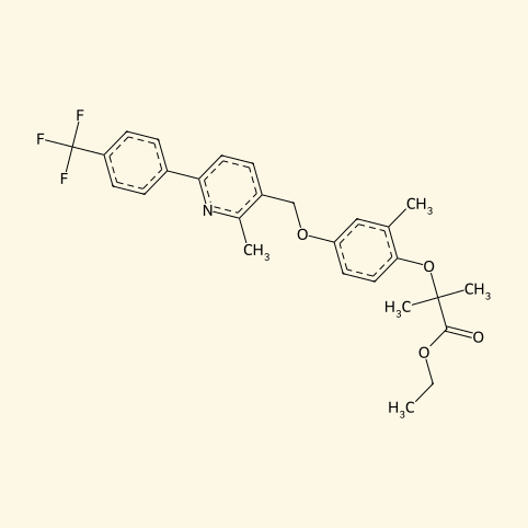 CCOC(=O)C(C)(C)Oc1ccc(OCc2ccc(-c3ccc(C(F)(F)F)cc3)nc2C)cc1C